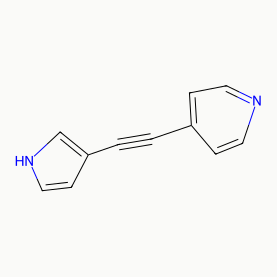 C(#Cc1cc[nH]c1)c1ccncc1